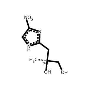 C[C@@](O)(CO)Cc1nc([N+](=O)[O-])c[nH]1